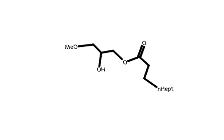 CCCCCCCCCC(=O)OCC(O)COC